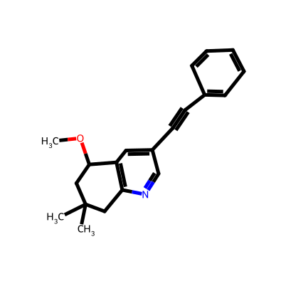 COC1CC(C)(C)Cc2ncc(C#Cc3ccccc3)cc21